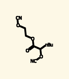 CCCCC(OC#N)C(=O)OCCOC#N